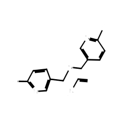 C=C[N+](=O)[O-].Clc1ccc(CNCc2ccc(Cl)nc2)cn1